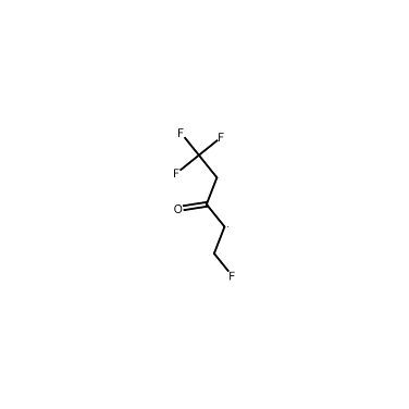 O=C([CH]CF)CC(F)(F)F